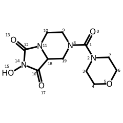 O=C(N1CCOCC1)N1CCN2C(=O)N(O)C(=O)C2C1